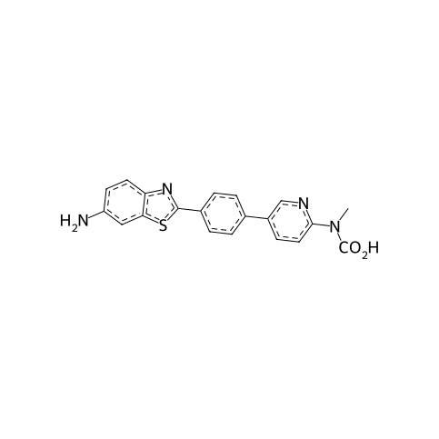 CN(C(=O)O)c1ccc(-c2ccc(-c3nc4ccc(N)cc4s3)cc2)cn1